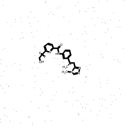 C[C@H](Cc1nncn1C)c1cccc(NC(=O)c2cccc(C(F)(F)CO)n2)c1